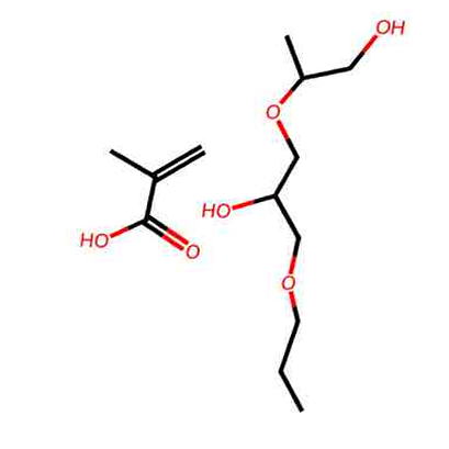 C=C(C)C(=O)O.CCCOCC(O)COC(C)CO